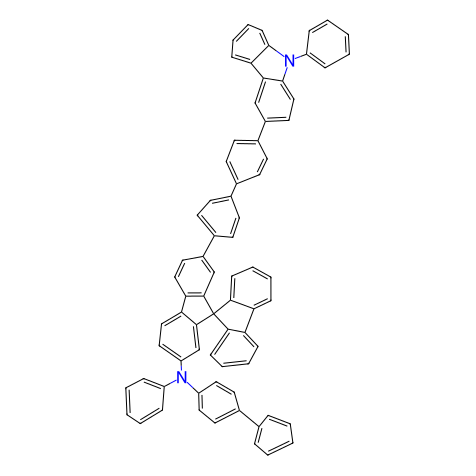 c1ccc(-c2ccc(N(c3ccccc3)c3ccc4c(c3)C3(c5ccccc5-c5ccccc53)c3cc(-c5ccc(-c6ccc(-c7ccc8c(c7)c7ccccc7n8-c7ccccc7)cc6)cc5)ccc3-4)cc2)cc1